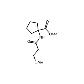 COCCC(=O)NC1(C(=O)OC)CCCC1